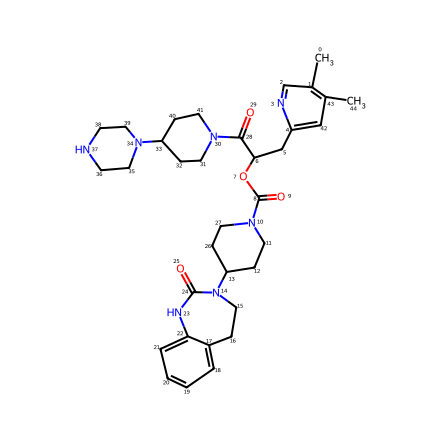 Cc1cnc(CC(OC(=O)N2CCC(N3CCc4ccccc4NC3=O)CC2)C(=O)N2CCC(N3CCNCC3)CC2)cc1C